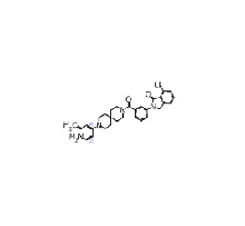 C=C/C=C(\C=C/N)N1CCC2(CCN(C(=O)c3cccc(N4Cc5cccc(Cl)c5C4=O)c3)CC2)CC1